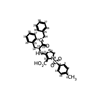 Cc1ccc(S(=O)(=O)N2CSC(N[C@@H](Cc3ccccc3)C(=O)OCc3ccccc3)=C2C(=O)O)cc1